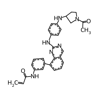 C=CC(=O)Nc1cccc(-c2cccc3cnc(Nc4ccc(NC5CCN(C(C)=O)C5)cc4)nc23)c1